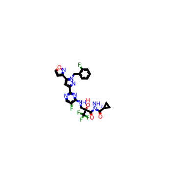 NN(C(=O)C1CC1)C(=O)C(O)(CNc1nc(-c2cc(-c3ccon3)n(Cc3ccccc3F)n2)ncc1F)C(F)(F)F